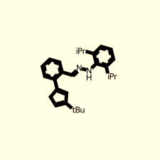 CC(C)c1cccc(C(C)C)c1NN=Cc1ccccc1C1=CC(C(C)(C)C)=CC1